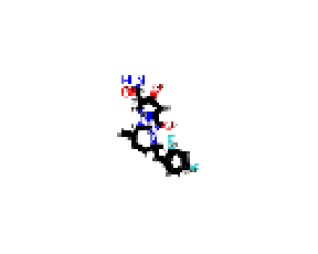 C=C1C=CC(C)(Cc2ccc(F)cc2F)N2CC1n1cc(C(N)=O)c(=O)cc1C2=O